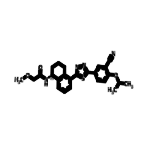 COCC(=O)N[C@@H]1CCCc2c(-c3nnc(-c4ccc(OC(C)C)c(C#N)c4)s3)cccc21